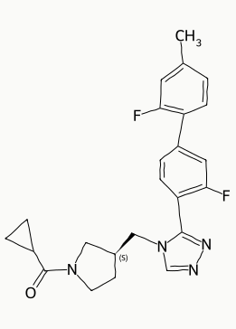 Cc1ccc(-c2ccc(-c3nncn3C[C@H]3CCN(C(=O)C4CC4)C3)c(F)c2)c(F)c1